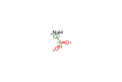 O=[SH](=O)Cl.[NaH]